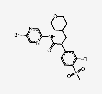 CS(=O)(=O)c1ccc(C(CC2CCOCC2)C(=O)Nc2cnc(Br)cn2)cc1Cl